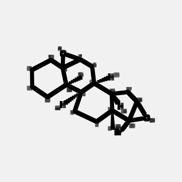 C[C@]12CC[C@@H]3[C@@H](CC4OC45CCCC[C@]35C)[C@@H]1CC1OC12Br